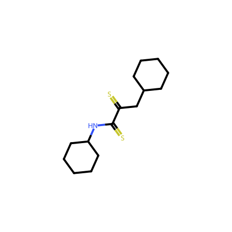 S=C(CC1CCCCC1)C(=S)NC1CCCCC1